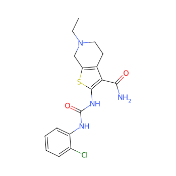 CCN1CCc2c(sc(NC(=O)Nc3ccccc3Cl)c2C(N)=O)C1